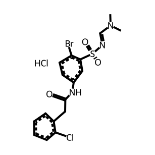 CN(C)C=NS(=O)(=O)c1cc(NC(=O)Cc2ccccc2Cl)ccc1Br.Cl